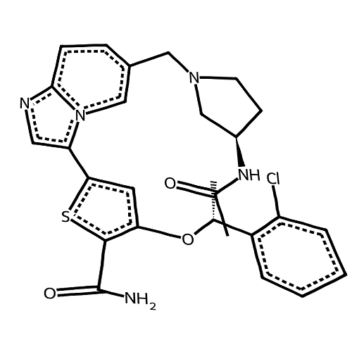 CC(=O)N[C@@H]1CCN(Cc2ccc3ncc(-c4cc(O[C@H](C)c5ccccc5Cl)c(C(N)=O)s4)n3c2)C1